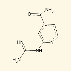 N=C(N)Nc1cc(C(N)=O)ccn1